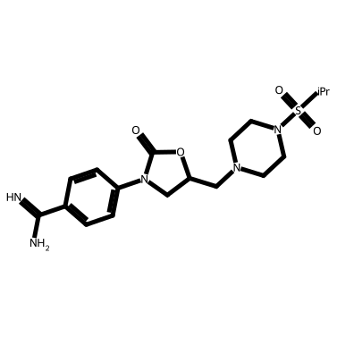 CC(C)S(=O)(=O)N1CCN(CC2CN(c3ccc(C(=N)N)cc3)C(=O)O2)CC1